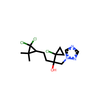 CC1(C)C(CCC(O)(Cn2cncn2)C2(Cl)CC2)C1(Cl)Cl